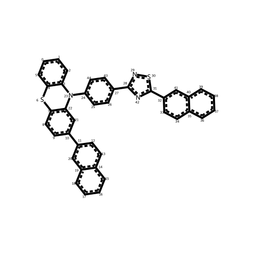 c1ccc2c(c1)Sc1ccc(-c3ccc4ccccc4c3)cc1N2c1ccc(-c2nsc(-c3ccc4ccccc4c3)n2)cc1